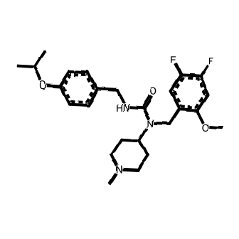 COc1cc(F)c(F)cc1CN(C(=O)NCc1ccc(OC(C)C)cc1)C1CCN(C)CC1